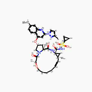 COc1ccc2c(O[C@@H]3C[C@H]4C(=O)N[C@]5(C(=O)NS(=O)(=O)C6CC6)C[C@H]5/C=C\CCCCO[C@H](C)C(=O)N4C3)cc(-n3ccc(C)n3)nc2c1